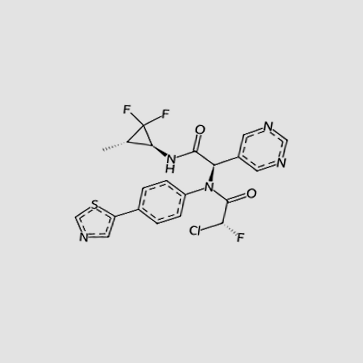 C[C@H]1[C@H](NC(=O)[C@@H](c2cncnc2)N(C(=O)[C@H](F)Cl)c2ccc(-c3cncs3)cc2)C1(F)F